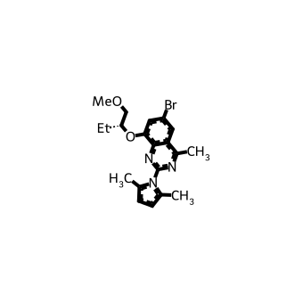 CC[C@H](COC)Oc1cc(Br)cc2c(C)nc(-n3c(C)ccc3C)nc12